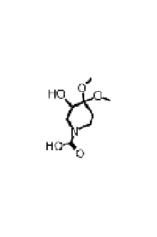 COC1(OC)CCN(C(=O)O)CC1O